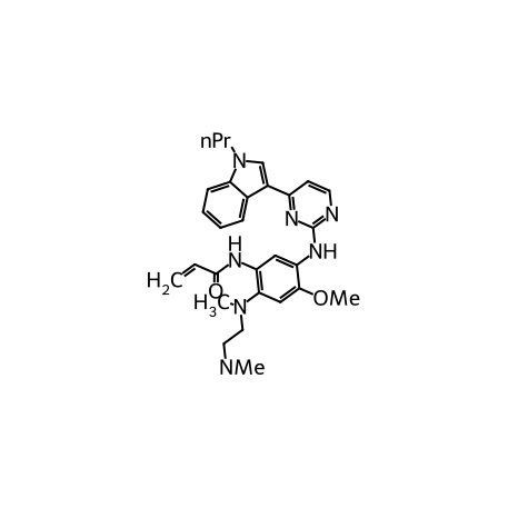 C=CC(=O)Nc1cc(Nc2nccc(-c3cn(CCC)c4ccccc34)n2)c(OC)cc1N(C)CCNC